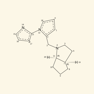 c1cc(CN2CC[C@H]3CCC[C@H]32)n(-c2nccs2)c1